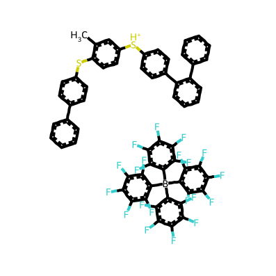 Cc1cc([SH+]c2ccc(-c3ccccc3-c3ccccc3)cc2)ccc1Sc1ccc(-c2ccccc2)cc1.Fc1c(F)c(F)c([B-](c2c(F)c(F)c(F)c(F)c2F)(c2c(F)c(F)c(F)c(F)c2F)c2c(F)c(F)c(F)c(F)c2F)c(F)c1F